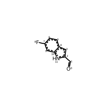 O=Cc1cc2ccc(F)cc2[nH]1